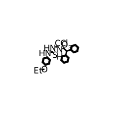 CCOc1ccc(NC(=S)NC(NC(=O)C(c2ccccc2)c2ccccc2)C(Cl)(Cl)Cl)cc1